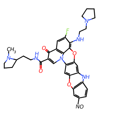 CN1CCCC1CCNC(=O)c1cn2c3cc4oc5cc(N=O)ccc5[nH]c4cc3oc3c(NCCN4CCCC4)c(F)cc(c1=O)c32